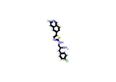 NC(CNc1ncc(-c2ccc3cnc(F)cc3c2)s1)Cc1ccc(Cl)cc1